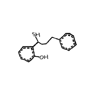 Oc1ccccc1C(S)CCc1ccccc1